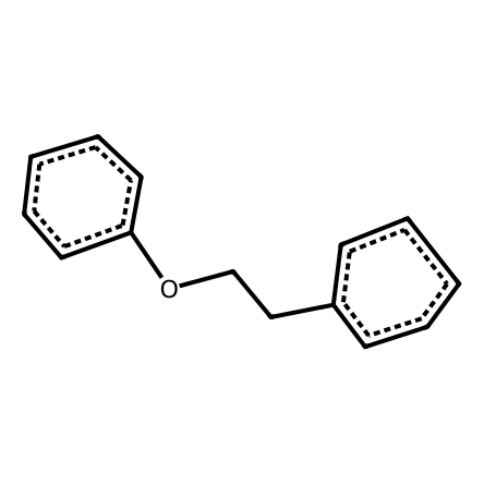 c1ccc(CCOc2ccccc2)cc1